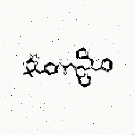 CC(C)(C)C(Cc1ccc(NC(=O)CN(CCN(Cc2ccccn2)Cc2ccccn2)Cc2ccccn2)cc1)OC(N)=O